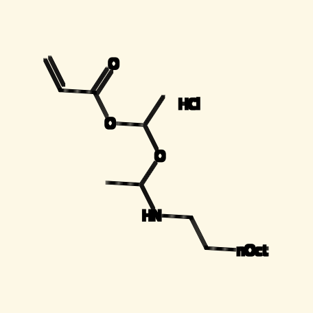 C=CC(=O)OC(C)OC(C)NCCCCCCCCCC.Cl